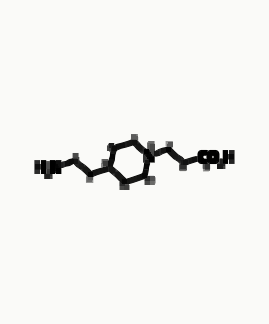 NCCC1CCN(CCC(=O)O)CC1